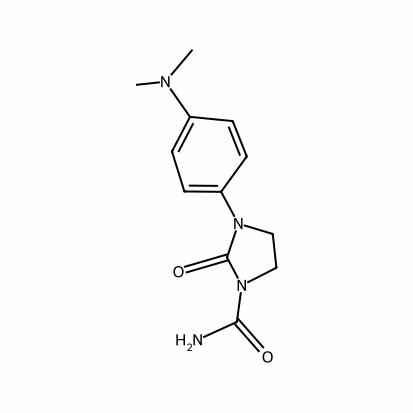 CN(C)c1ccc(N2CCN(C(N)=O)C2=O)cc1